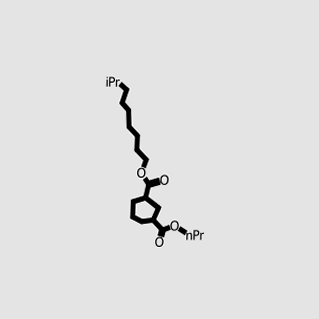 CCCOC(=O)C1CCCC(C(=O)OCCCCCCCC(C)C)C1